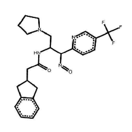 O=NC(c1ccc(C(F)(F)F)cn1)C(CN1CCCC1)NC(=O)CC1Cc2ccccc2C1